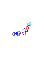 CC(NC(=O)c1ccc(N2CCCCC2)nc1)c1ccc(OCC(F)(F)F)nc1